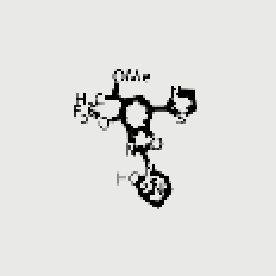 COC(C)c1cc(-c2nccs2)c2oc(N3CC4CC(C3)N4C(=O)O)nc2c1OC(F)(F)F